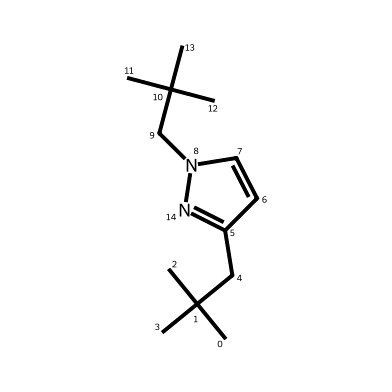 CC(C)(C)Cc1ccn(CC(C)(C)C)n1